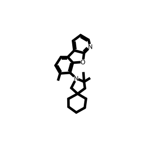 Cc1ccc2c(oc3ncccc32)c1N1CC2(CCCCC2)CC1(C)C